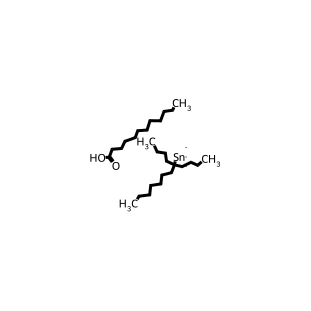 CCCCCCCCCCCC(=O)O.CCCCCCC[C]([Sn])(CCCC)CCCC